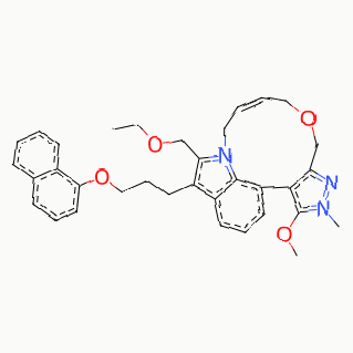 CCOCc1c(CCCOc2cccc3ccccc23)c2cccc3c2n1C/C=C\COCc1nn(C)c(OC)c1-3